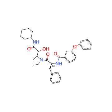 O=C(N[C@@H](Cc1ccccc1)C(=O)N1CCCC1C(O)C(=O)NC1CCCCC1)c1cccc(Oc2ccccc2)c1